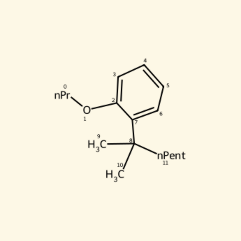 [CH2]CCOc1ccccc1C(C)(C)CCCCC